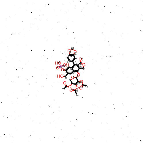 CC(=O)OC1COC(Oc2c3c(c(-c4ccc5c(c4)OCO5)c4cc(OP(=O)(O)O)c(CO)cc24)C(=O)OC3)C(OC(C)=O)C1OC(C)=O